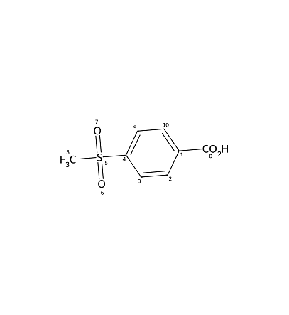 O=C(O)c1ccc(S(=O)(=O)C(F)(F)F)cc1